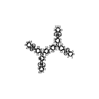 c1ccc2c(c1)OB(c1ccc(N(c3ccc(B4Oc5ccccc5O4)cc3)c3ccc(-c4ccc(N(c5ccc(B6Oc7ccccc7O6)cc5)c5ccc(B6Oc7ccccc7O6)cc5)cc4)cc3)cc1)O2